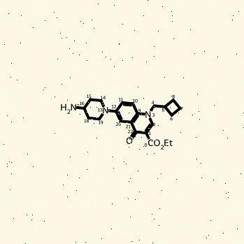 CCOC(=O)c1cn(CC2CCC2)c2ccc(N3CCC(N)CC3)cc2c1=O